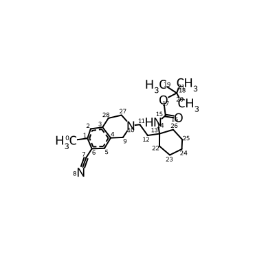 Cc1cc2c(cc1C#N)CN(CCC1(NC(=O)OC(C)(C)C)CCCCC1)CC2